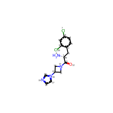 N[C@H](Cc1ccc(Cl)cc1Cl)C(=O)N1CC(n2ccnc2)C1